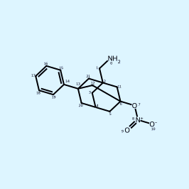 NCC12CC3CC(O[N+](=O)[O-])(C1)CC(c1ccccc1)(C3)C2